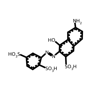 Nc1ccc2cc(S(=O)(=O)O)c(N=Nc3cc(S(=O)(=O)O)ccc3S(=O)(=O)O)c(O)c2c1